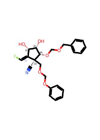 N#C[C@]1(COCOc2ccccc2)/C(=C/F)[C@H](O)[C@H](O)[C@@H]1OCOCc1ccccc1